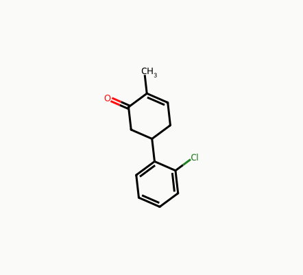 CC1=CCC(c2ccccc2Cl)CC1=O